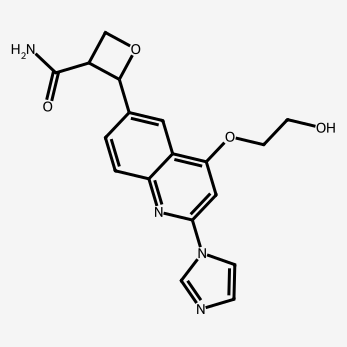 NC(=O)C1COC1c1ccc2nc(-n3ccnc3)cc(OCCO)c2c1